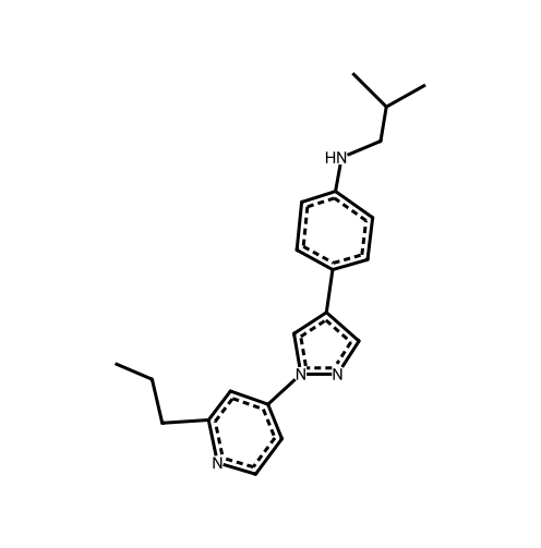 CCCc1cc(-n2cc(-c3ccc(NCC(C)C)cc3)cn2)ccn1